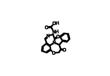 O=C(O)NC1N=Cc2cccc3c2N(C1=O)C(c1ccccc1)C(=O)CO3